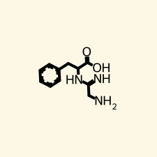 N=C(CN)NC(Cc1ccccc1)C(=O)O